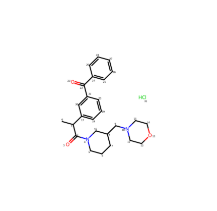 CC(C(=O)N1CCCC(CN2CCOCC2)C1)c1cccc(C(=O)c2ccccc2)c1.Cl